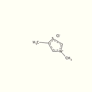 Cc1c[n+](C)cs1.[Cl-]